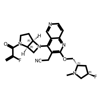 C=C(F)C(=O)N1CC[C@@H]2[C@H]1CN2c1c(CC#N)c(OC[C@@H]2C[C@@H](F)CN2C)nc2ccncc12